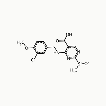 COc1ccc(CNc2nc([S+](C)[O-])ncc2C(=O)O)cc1Cl